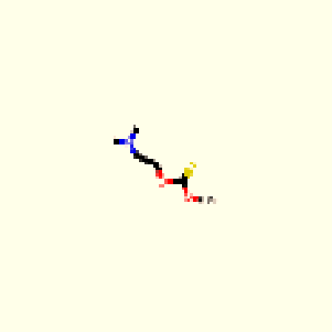 CCCOC(=S)OCCN(C)C